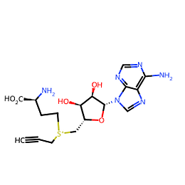 C#CC[S+](CC[C@H](N)C(=O)O)C[C@H]1O[C@@H](n2cnc3c(N)ncnc32)[C@H](O)[C@@H]1O